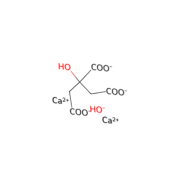 O=C([O-])CC(O)(CC(=O)[O-])C(=O)[O-].[Ca+2].[Ca+2].[OH-]